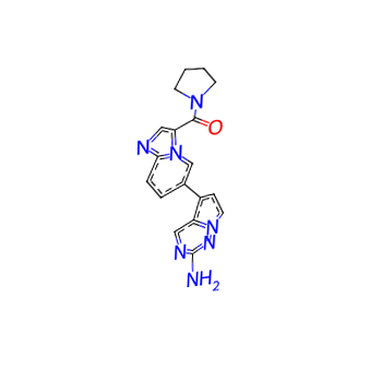 Nc1ncc2c(-c3ccc4ncc(C(=O)N5CCCC5)n4c3)ccn2n1